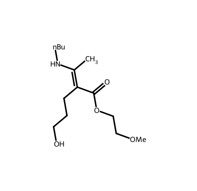 CCCCN/C(C)=C(\CCCO)C(=O)OCCOC